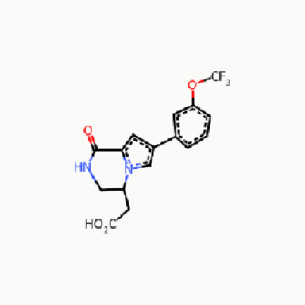 O=C(O)CC1CNC(=O)c2cc(-c3cccc(OC(F)(F)F)c3)cn21